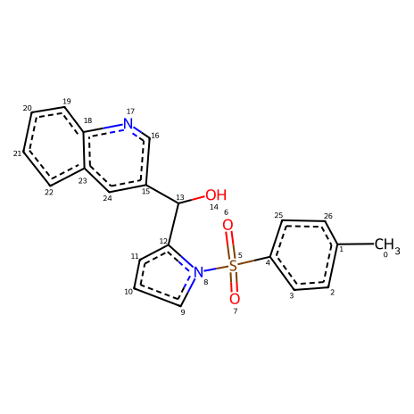 Cc1ccc(S(=O)(=O)n2cccc2C(O)c2cnc3ccccc3c2)cc1